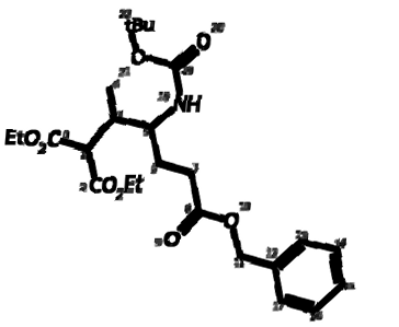 CCOC(=O)C(C(=O)OCC)C(C)C(CCC(=O)OCc1ccccc1)NC(=O)OC(C)(C)C